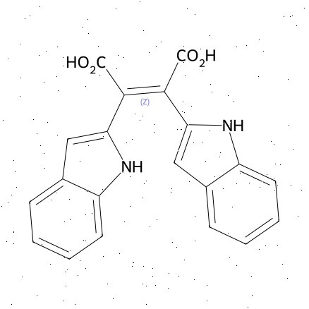 O=C(O)/C(=C(\C(=O)O)c1cc2ccccc2[nH]1)c1cc2ccccc2[nH]1